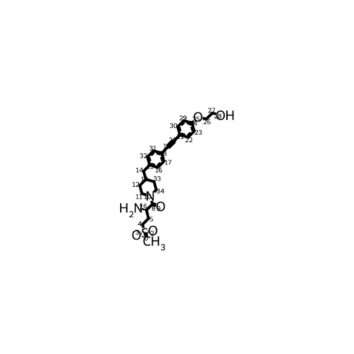 CS(=O)(=O)CC[C@@H](N)C(=O)N1CCC(Cc2ccc(C#Cc3ccc(OCCO)cc3)cc2)CC1